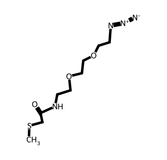 CSCC(=O)NCCOCCOCCN=[N+]=[N-]